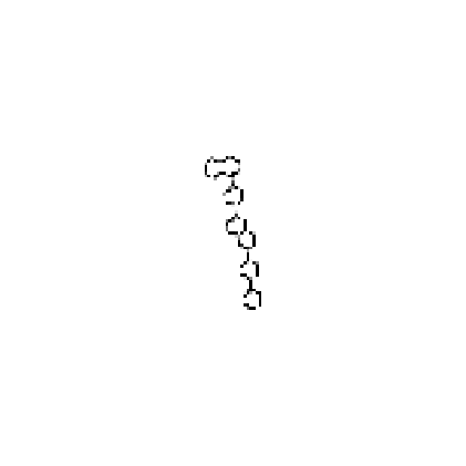 c1ccc(-c2ccc(-c3ccc4cc(-c5ccc(-c6cccc7ccccc67)cc5)ccc4c3)cc2)cc1